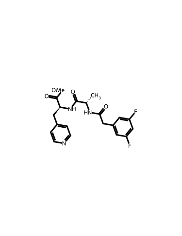 COC(=O)[C@H](Cc1ccncc1)NC(=O)[C@H](C)NC(=O)Cc1cc(F)cc(F)c1